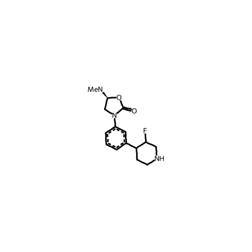 CN[C@@H]1CN(c2cccc(C3CCNCC3F)c2)C(=O)O1